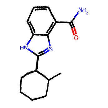 CC1CCCCC1c1nc2c(C(N)=O)cccc2[nH]1